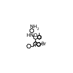 Cc1cccc(C(CC(=O)N[C@H]2CC[C@H](N)CC2)c2cn(CC3CCCCC3)c3ccc(Br)cc23)c1